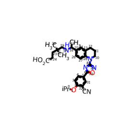 CC(C)Oc1ccc(-c2nc(N3CCCc4cc(C(C)NCC(C)(C)CCC(=O)O)ccc43)no2)cc1C#N